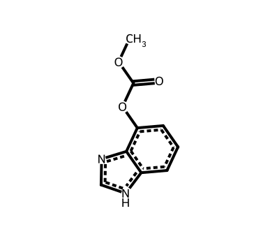 COC(=O)Oc1cccc2[nH]cnc12